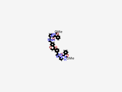 COC(=O)NC(C(=O)N1CCC[C@H]1c1ncc(-c2ccc3oc4c(c3c2)CCOc2cc(-c3cnc([C@@H]5CCCN5C(=O)[C@@H](NC(=O)OC)c5ccccc5)[nH]3)ccc2-4)[nH]1)c1ccccc1